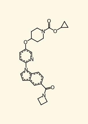 O=C(OC1CC1)N1CCC(Oc2ccc(-n3ccc4cc(C(=O)N5CCC5)ccc43)nc2)CC1